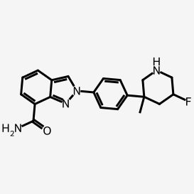 CC1(c2ccc(-n3cc4cccc(C(N)=O)c4n3)cc2)CNCC(F)C1